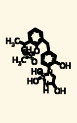 CC(C)c1cccc(Cc2ccc(N3CC(O)NS3(O)O)c(O)c2)c1OS(C)(=O)=O